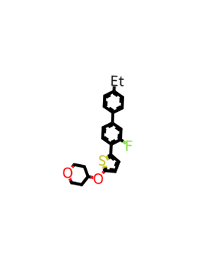 CCc1ccc(-c2ccc(-c3ccc(OC4CCOCC4)s3)c(F)c2)cc1